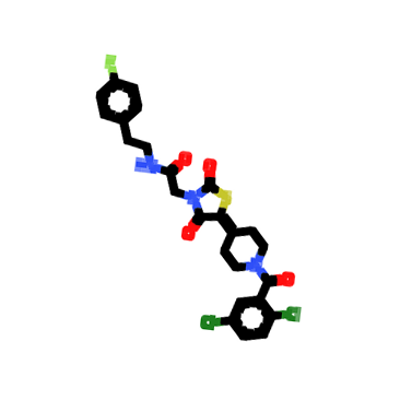 O=C(CN1C(=O)SC(=C2CCN(C(=O)c3cc(Cl)ccc3Cl)CC2)C1=O)NCCc1ccc(F)cc1